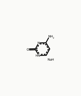 Nc1cc[nH]c(=O)n1.[NaH]